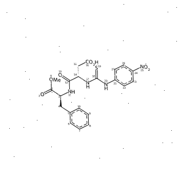 COC(=O)[C@H](Cc1ccccc1)NC(=O)[C@H](CC(=O)O)NC(=S)Nc1ccc([N+](=O)[O-])cc1